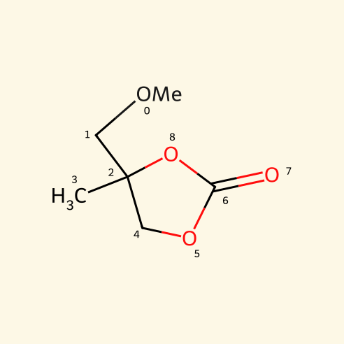 COCC1(C)COC(=O)O1